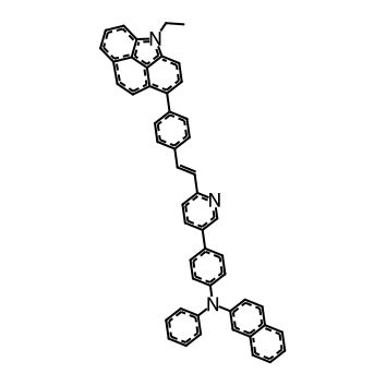 CCn1c2cccc3ccc4c(-c5ccc(/C=C/c6ccc(-c7ccc(N(c8ccccc8)c8ccc9ccccc9c8)cc7)cn6)cc5)ccc1c4c32